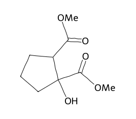 COC(=O)C1CCCC1(O)C(=O)OC